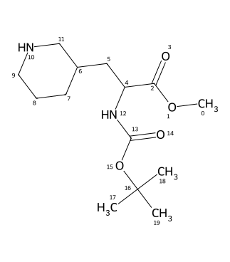 COC(=O)C(CC1CCCNC1)NC(=O)OC(C)(C)C